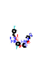 CN(C)[C@@H]1CCN(C(=O)Nc2cc(Oc3ccc(NC(=O)NC(=O)Cc4ccc(F)cc4)cc3F)ccn2)C1